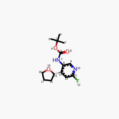 CC(C)(C)OC(=O)Nc1cnc(F)cc1[C@@H]1CCCO1